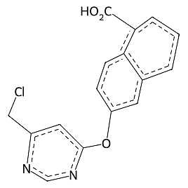 O=C(O)c1cccc2cc(Oc3cc(CCl)ncn3)ccc12